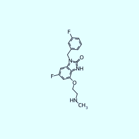 CNCCOc1cc(F)cc2c1[nH]c(=O)n2Cc1cccc(F)c1